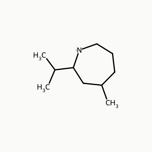 CC1CCC[N]C(C(C)C)C1